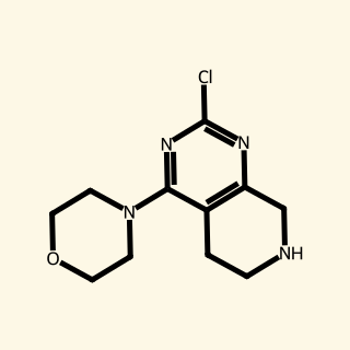 Clc1nc2c(c(N3CCOCC3)n1)CCNC2